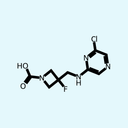 O=C(O)N1CC(F)(CNc2cncc(Cl)n2)C1